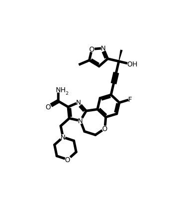 Cc1cc([C@](C)(O)C#Cc2cc3c(cc2F)OCCn2c-3nc(C(N)=O)c2CN2CCOCC2)no1